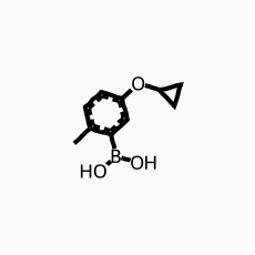 Cc1ccc(OC2CC2)cc1B(O)O